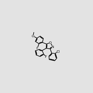 COc1ccc(-c2onc(-c3ccccc3Cl)c2-c2ccccc2F)c(F)c1